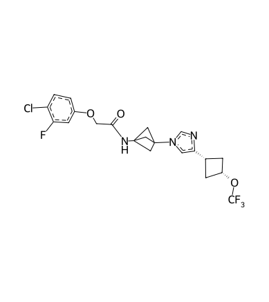 O=C(COc1ccc(Cl)c(F)c1)NC12CC(n3cnc([C@H]4C[C@@H](OC(F)(F)F)C4)c3)(C1)C2